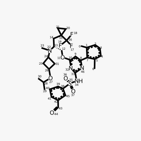 Cc1cccc(C)c1-c1cc(OC[C@@H](CC2(C(F)(F)F)CC2)N(C)C2CC(OC(C)C)C2)nc(NS(=O)(=O)c2cccc(C=O)c2)n1